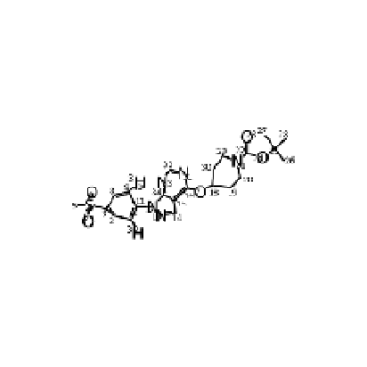 [3H]c1cc(S(C)(=O)=O)cc([3H])c1-n1ncc2c(OC3CCN(C(=O)OC(C)(C)C)CC3)ncnc21